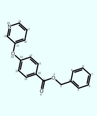 O=C(OCc1ccccc1)c1ccc(Oc2cccnc2)cc1